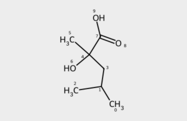 CC(C)CC(C)(O)C(=O)O